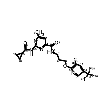 Cc1cc(C(=O)NCCCOc2ncc(C(F)(F)F)cc2Cl)nc(NC(=O)C2CC2)n1